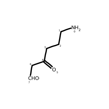 NCCCC(=O)C[C]=O